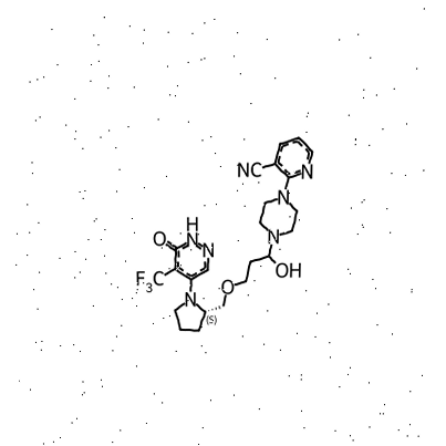 N#Cc1cccnc1N1CCN(C(O)CCOC[C@@H]2CCCN2c2cn[nH]c(=O)c2C(F)(F)F)CC1